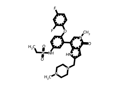 CCS(=O)(=O)Nc1ccc(Oc2ccc(F)cc2F)c(-c2cn(C)c(=O)c3cc(CN4CCN(C)CC4)[nH]c23)c1